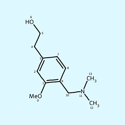 COc1cc(CCO)ccc1CN(C)C